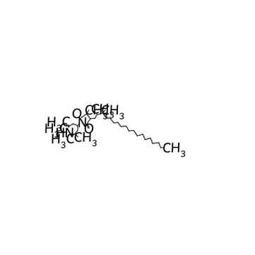 CCCCCCCCCCCCCCCCC(C)C(C)CC1C(=O)N(C2CC(C)(C)NC(C)(C)C2)C(=O)C1C